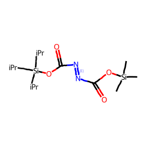 CC(C)[Si](OC(=O)/N=N/C(=O)O[Si](C)(C)C)(C(C)C)C(C)C